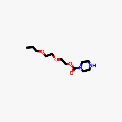 CCCOCCOCCOC(=O)N1CCNCC1